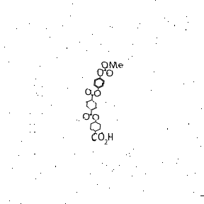 COC(=O)Oc1ccc(OC(=O)C2CCC(C(=O)OC3CCC(C(=O)O)CC3)CC2)cc1